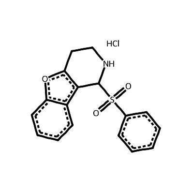 Cl.O=S(=O)(c1ccccc1)C1NCCc2oc3ccccc3c21